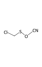 N#COSCCl